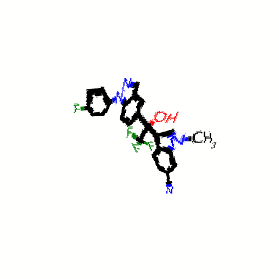 Cn1cc(C(O)(c2ccc3c(cnn3-c3ccc(F)cc3)c2)C(F)(F)F)c2ccc(C#N)cc21